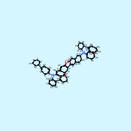 c1ccc(-c2ccc(N(c3ccc4cc5c(cc4c3)oc3cc4cc(N(c6ccccc6)c6ccccc6-c6ccccc6)ccc4cc35)c3ccccc3-c3ccccc3)cc2)cc1